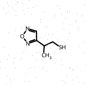 CC(CS)c1cnon1